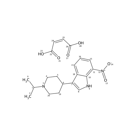 CC(C)N1CCC(c2c[nH]c3c([N+](=O)[O-])cccc23)CC1.O=C(O)/C=C\C(=O)O